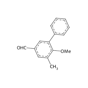 COc1c(C)cc(C=O)cc1-c1ccccc1